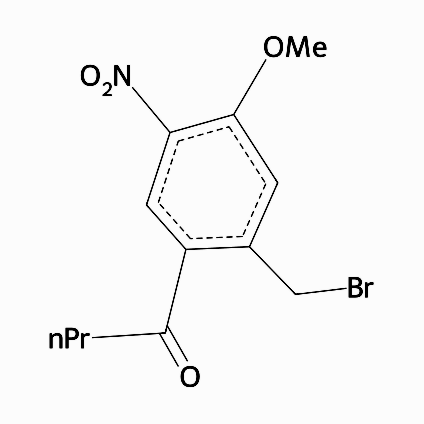 CCCC(=O)c1cc([N+](=O)[O-])c(OC)cc1CBr